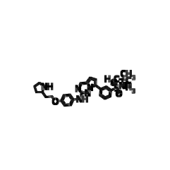 CC(C)(C)NS(=O)(=O)c1cccc(-c2ccc3cnc(Nc4ccc(OCCC5CCCN5)cc4)nn23)c1